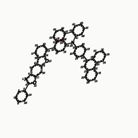 c1ccc(-c2nc3cc4c(cc3o2)oc2c(-c3ccc(N(c5ccc(-c6cc7ccccc7c7ccccc67)cc5)c5ccccc5-c5ccccc5)cc3)cccc24)cc1